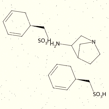 NC1CN2CCC1C2.O=S(=O)(O)C[C@H]1C=CC=CC1.O=S(=O)(O)C[C@H]1C=CC=CC1